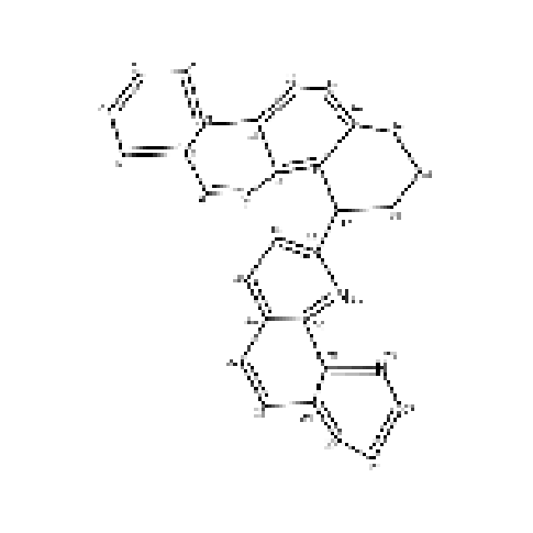 c1ccc2c(c1)ccc1c3c(ccc12)CCCC3c1ccc2ccc3cccnc3c2n1